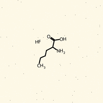 CCCCC(N)C(=O)O.F